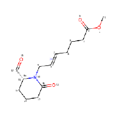 COC(=O)CCC/C=C/CN1C(=O)CCC[C@@H]1C=O